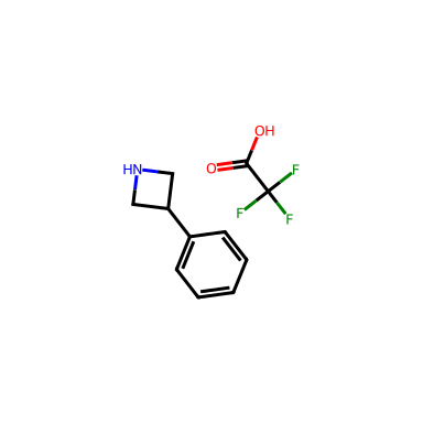 O=C(O)C(F)(F)F.c1ccc(C2CNC2)cc1